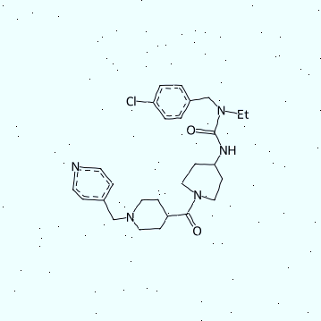 CCN(Cc1ccc(Cl)cc1)C(=O)NC1CCN(C(=O)C2CCN(Cc3ccncc3)CC2)CC1